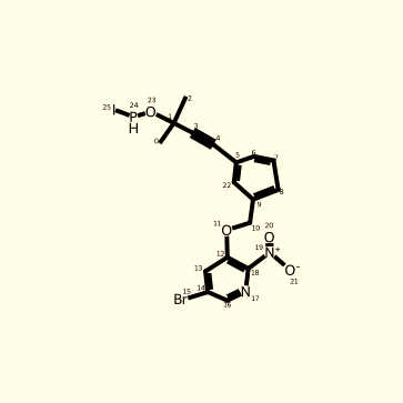 CC(C)(C#Cc1cccc(COc2cc(Br)cnc2[N+](=O)[O-])c1)OPI